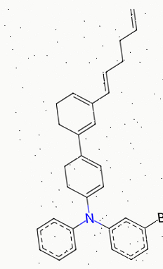 Bc1cccc(N(C2=CC=C(C3=CC(/C=C/CCC=C)=CCC3)CC2)c2ccccc2)c1